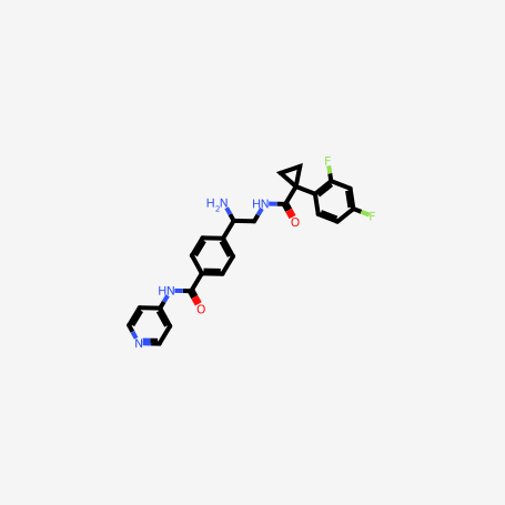 NC(CNC(=O)C1(c2ccc(F)cc2F)CC1)c1ccc(C(=O)Nc2ccncc2)cc1